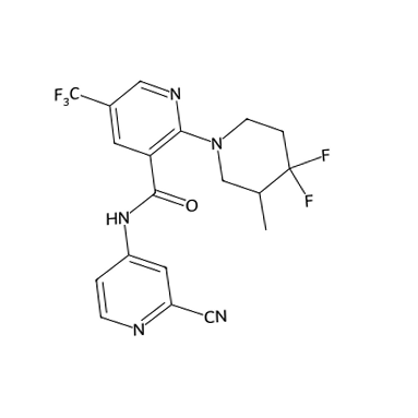 CC1CN(c2ncc(C(F)(F)F)cc2C(=O)Nc2ccnc(C#N)c2)CCC1(F)F